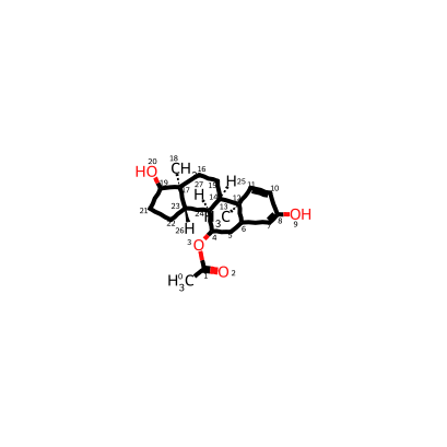 CC(=O)OC1CC2C=C(O)C=C[C@]2(C)[C@@H]2CC[C@]3(C)C(O)CC[C@H]3[C@H]12